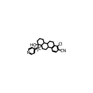 C[C@]12CCC3c4ccc(C#N)c(Cl)c4CCC3C1CCC[C@@]2(O)Cc1ccncc1